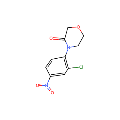 O=C1COCCN1c1ccc([N+](=O)[O-])cc1Cl